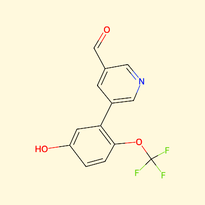 O=Cc1cncc(-c2cc(O)ccc2OC(F)(F)F)c1